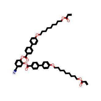 C=CC(=O)OCCCCCCCCCOc1ccc(-c2ccc(C(=O)Oc3ccc(C#N)cc3OC(=O)c3ccc(-c4ccc(OCCCCCCCCCOC(=O)C=C)cc4)cc3)cc2)cc1